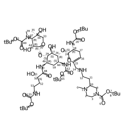 CN1CCN(C(=O)OC(C)(C)C)CC1CCNCC1=CC[C@@H](NC(=O)OC(C)(C)C)[C@@H](O[C@H]2[C@H](O)[C@@H](O[C@H]3OC[C@](C)(O)[C@H](N(C)C(=O)OC(C)(C)C)[C@H]3O)[C@H](NC(=O)[C@@H](O)CCNC(=O)OC(C)(C)C)C[C@@H]2NC(=O)OC(C)(C)C)O1